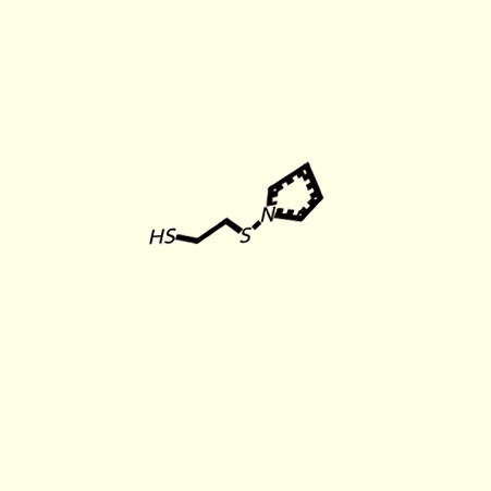 SCCSn1cccc1